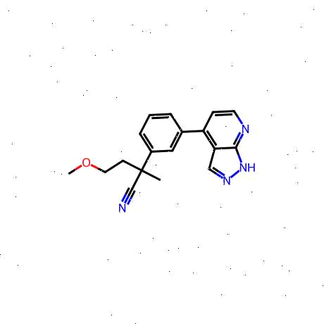 COCCC(C)(C#N)c1cccc(-c2ccnc3[nH]ncc23)c1